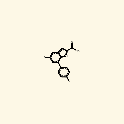 NC(=O)c1cc2cc(F)cc(-c3ccc(F)cc3)c2[nH]1